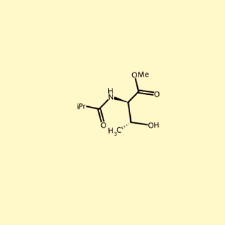 COC(=O)[C@H](NC(=O)C(C)C)[C@@H](C)O